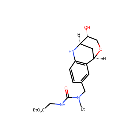 CCOC(=O)CNC(=O)N(CC)Cc1ccc2c(c1)[C@H]1C[C@@H](N2)[C@H](O)CO1